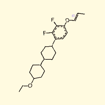 C/C=C/Oc1ccc(C2CCC(C3CCC(OCC)CC3)CC2)c(F)c1F